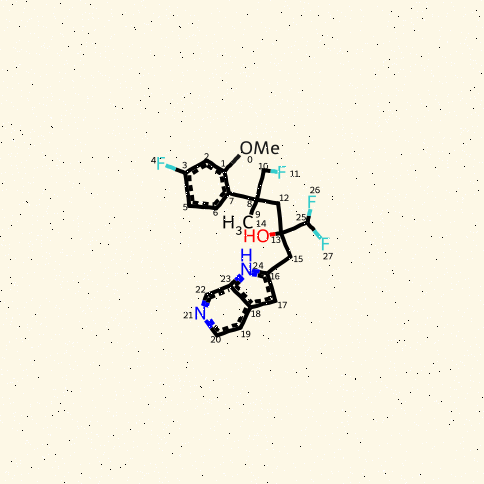 COc1cc(F)ccc1C(C)(CF)CC(O)(Cc1cc2ccncc2[nH]1)C(F)F